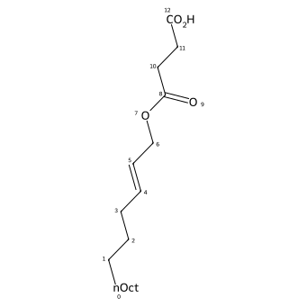 CCCCCCCCCCCC=CCOC(=O)CCC(=O)O